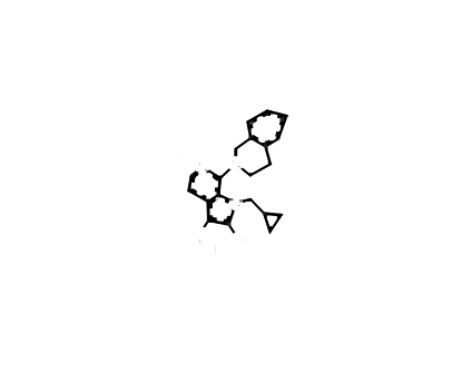 CSc1c(C)n(CC2CC2)c2c(N3CCc4ccccc4C3)nccc12.Cl